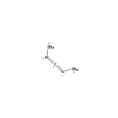 CC(C)(C)N=C=NC(C)(C)C